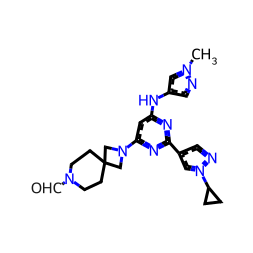 Cn1cc(Nc2cc(N3CC4(CCN(C=O)CC4)C3)nc(-c3cnn(C4CC4)c3)n2)cn1